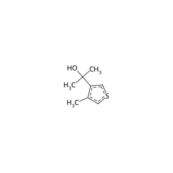 Cc1cscc1C(C)(C)O